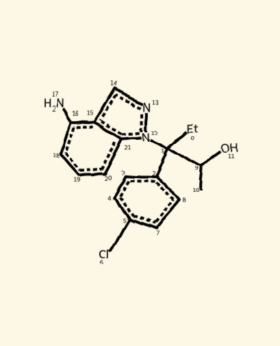 CCC(c1ccc(Cl)cc1)(C(C)O)n1ncc2c(N)cccc21